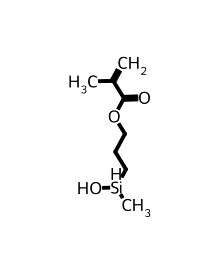 C=C(C)C(=O)OCCC[SiH](C)O